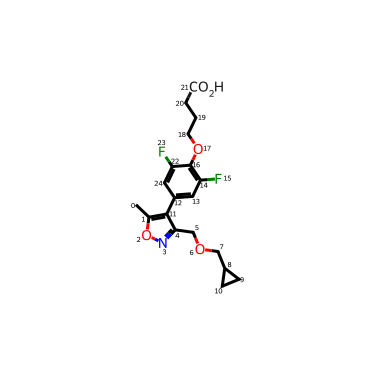 Cc1onc(COCC2CC2)c1-c1cc(F)c(OCCCC(=O)O)c(F)c1